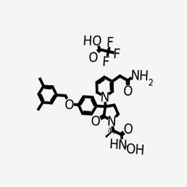 Cc1cc(C)cc(COc2ccc(C3(N4C=C(CC(N)=O)C=CC4)CCN([C@H](C)C(=O)NO)C3=O)cc2)c1.O=C(O)C(F)(F)F